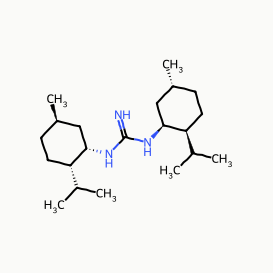 CC(C)[C@@H]1CC[C@@H](C)C[C@@H]1NC(=N)N[C@H]1C[C@H](C)CC[C@H]1C(C)C